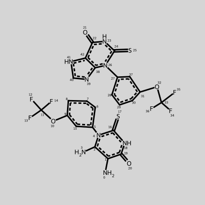 Nc1c(N)n(-c2cccc(OC(F)(F)F)c2)c(=S)[nH]c1=O.O=c1[nH]c(=S)n(-c2cccc(OC(F)(F)F)c2)c2nc[nH]c12